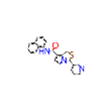 O=C(Nc1cccc2ccccc12)c1ccn2c1CSC2c1cccnc1